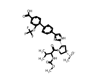 COC(=O)NC(C(=O)N1C[C@@H]([S+](C)[O-])C[C@H]1c1nc(-c2ccc(-c3ccc(C(=O)O)cc3OC(F)(F)F)cc2)c[nH]1)C(C)C